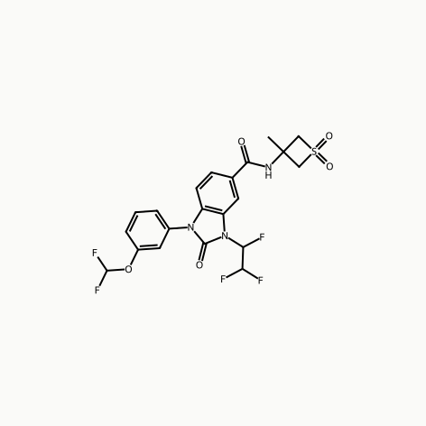 CC1(NC(=O)c2ccc3c(c2)n(C(F)C(F)F)c(=O)n3-c2cccc(OC(F)F)c2)CS(=O)(=O)C1